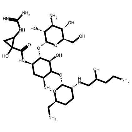 N=C(N)NC1CC1(O)C(=O)N[C@@H]1C[C@H](N)C(O[C@H]2O[C@H](CN)CC[C@H]2NCC(O)CCN)[C@H](O)[C@H]1O[C@H]1O[C@H](CO)[C@@H](O)[C@H](N)[C@H]1O